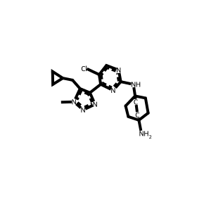 Cn1nnc(-c2nc(NC34CCC(N)(CC3)CC4)ncc2Cl)c1CC1CC1